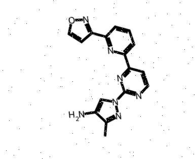 Cc1nn(-c2nccc(-c3cccc(-c4ccon4)n3)n2)cc1N